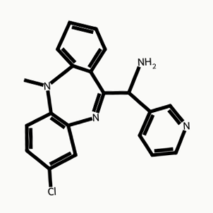 CN1c2ccc(Cl)cc2N=C(C(N)c2cccnc2)c2ccccc21